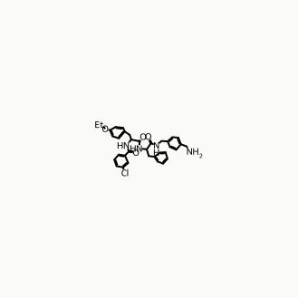 CCOc1ccc(CC(NC(=O)c2cccc(Cl)c2)C(=O)NC(Cc2ccccc2)C(=O)NCc2ccc(CN)cc2)cc1